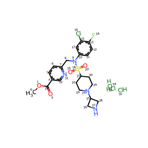 COC(=O)c1ccc(CN(c2ccc(F)c(Cl)c2)S(=O)(=O)C2CCN(C3CNC3)CC2)nc1.Cl.Cl.Cl